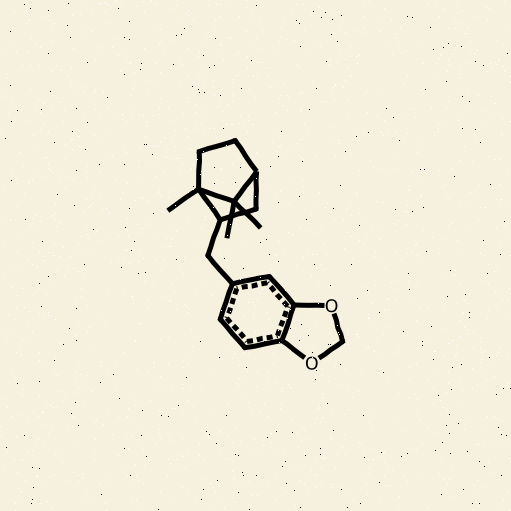 CC12CCC(C[C]1Cc1ccc3c(c1)OCO3)C2(C)C